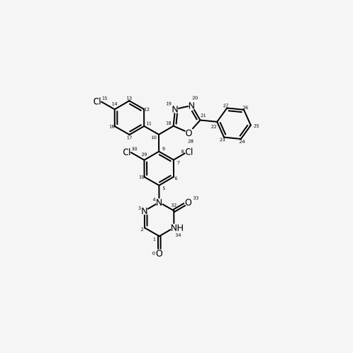 O=c1cnn(-c2cc(Cl)c(C(c3ccc(Cl)cc3)c3nnc(-c4ccccc4)o3)c(Cl)c2)c(=O)[nH]1